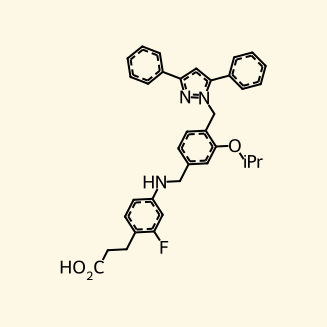 CC(C)Oc1cc(CNc2ccc(CCC(=O)O)c(F)c2)ccc1Cn1nc(-c2ccccc2)cc1-c1ccccc1